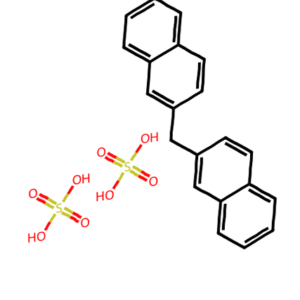 O=S(=O)(O)O.O=S(=O)(O)O.c1ccc2cc(Cc3ccc4ccccc4c3)ccc2c1